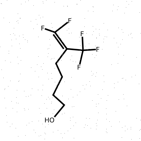 OCCCCC(=C(F)F)C(F)(F)F